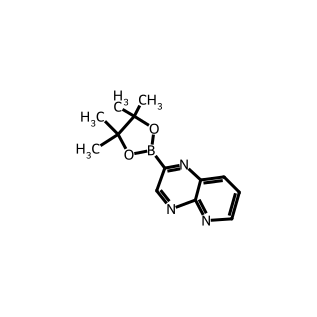 CC1(C)OB(c2cnc3ncccc3n2)OC1(C)C